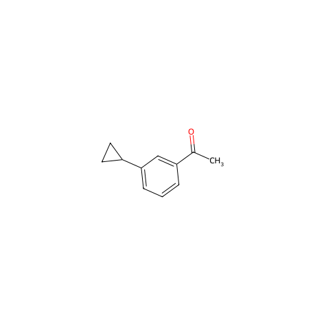 CC(=O)c1cccc(C2CC2)c1